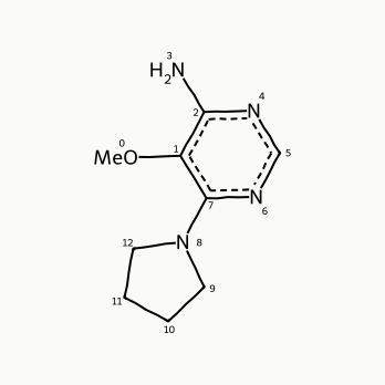 COc1c(N)ncnc1N1CCCC1